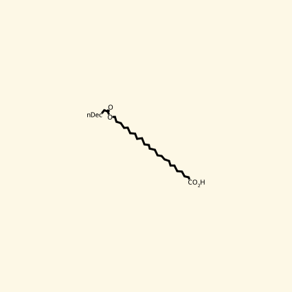 CCCCCCCCCCCC(=O)OCCCCCCCCCCCCCCCCCCCCCCCC(=O)O